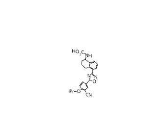 CC(C)Oc1ccc(-c2nc(-c3cccc4c3CCCC4NC(=O)O)no2)cc1C#N